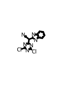 N#CC(c1nc(Cl)nc(Cl)n1)C1N=c2ccccc2=N1